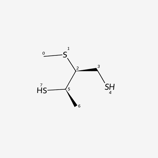 CS[C@@H](CS)[C@@H](C)S